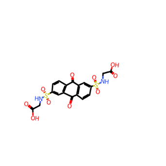 O=C(O)CNS(=O)(=O)c1ccc2c(c1)C(=O)c1ccc(S(=O)(=O)NCC(=O)O)cc1C2=O